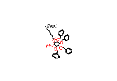 CCCCCCCCCCCCCCCC(=O)O[C@@H]1C(OCc2ccccc2)C(OCc2ccccc2)[C@H](OCc2ccccc2)[C@@H](OCc2ccccc2)C1O